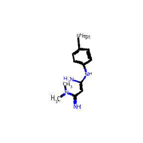 CCCCCCCc1ccc(N/C(N)=C/C(=N)N(C)C)cc1